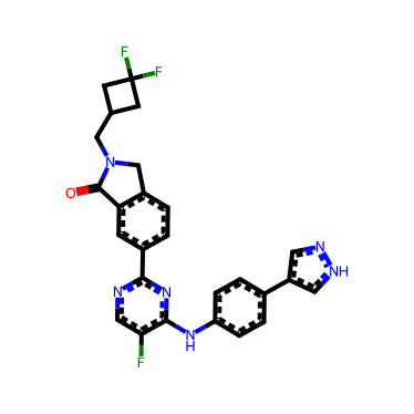 O=C1c2cc(-c3ncc(F)c(Nc4ccc(-c5cn[nH]c5)cc4)n3)ccc2CN1CC1CC(F)(F)C1